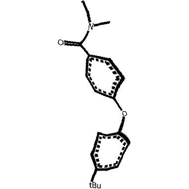 CN(C)C(=O)c1ccc(Oc2ccc(C(C)(C)C)cc2)cc1